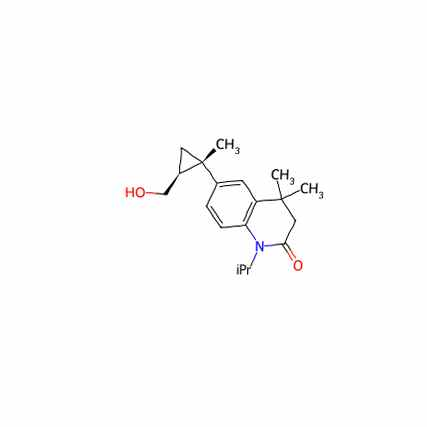 CC(C)N1C(=O)CC(C)(C)c2cc([C@@]3(C)C[C@@H]3CO)ccc21